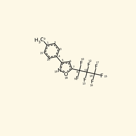 Cc1ccc(-c2cc(C(F)(F)C(F)(F)C(F)(F)F)on2)cc1